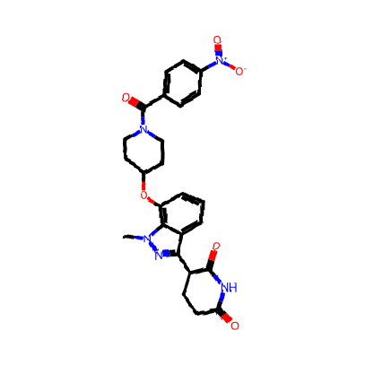 Cn1nc(C2CCC(=O)NC2=O)c2cccc(OC3CCN(C(=O)c4ccc([N+](=O)[O-])cc4)CC3)c21